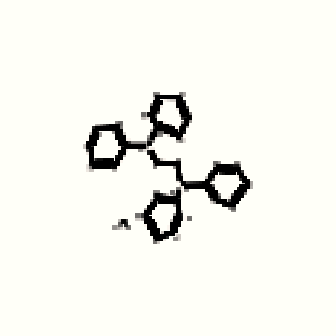 [Pt].c1ccc(P(CCP(c2ccccc2)c2ccccc2)c2ccccc2)cc1